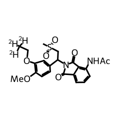 [2H]C([2H])([2H])COc1cc(C(CS(C)(=O)=O)N2C(=O)c3cccc(NC(C)=O)c3C2=O)ccc1OC